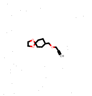 C#CCOCC1CCC2(CC1)OCCO2